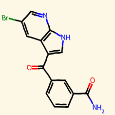 NC(=O)c1cccc(C(=O)c2c[nH]c3ncc(Br)cc23)c1